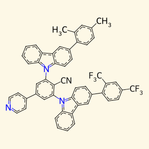 Cc1ccc(-c2ccc3c(c2)c2ccccc2n3-c2cc(-c3ccncc3)cc(-n3c4ccccc4c4cc(-c5ccc(C(F)(F)F)cc5C(F)(F)F)ccc43)c2C#N)c(C)c1